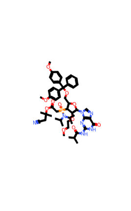 COCCOC1C(n2cnc3c(=O)[nH]c(NC(=O)C(C)C)nc32)OC(COC(c2ccccc2)(c2ccc(OC)cc2)c2ccc(OC)cc2)C1P(=O)(CC(=O)OC(C)(C)CC#N)N(C(C)C)C(C)C